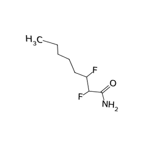 CCCCCC(F)C(F)C(N)=O